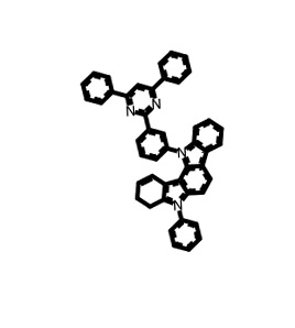 C1=Cc2c(n(-c3ccccc3)c3ccc4c5ccccc5n(-c5cccc(-c6nc(-c7ccccc7)cc(-c7ccccc7)n6)c5)c4c23)CC1